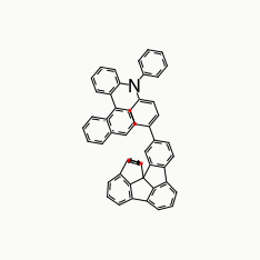 C1=C(c2ccc3c(c2)C24c5ccccc5-c5cccc(c52)-c2cccc-3c24)CCC(N(c2ccccc2)c2ccccc2-c2cccc3ccccc23)=C1